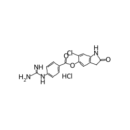 Cl.N=C(N)Nc1ccc(C(=O)Oc2cc3c(cc2Cl)NC(=O)C3)cc1